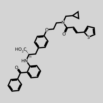 O=C(c1ccccc1)c1ccccc1N[C@@H](Cc1ccc(OCCN(CC2CC2)C(=O)C=Cc2cccs2)cc1)C(=O)O